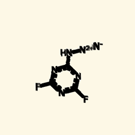 [N-]=[N+2]Nc1nc(F)nc(F)n1